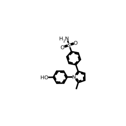 Cc1ccc(-c2ccc(S(N)(=O)=O)cc2)n1-c1ccc(O)cc1